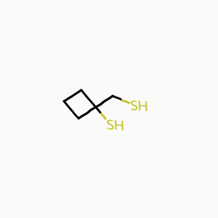 SCC1(S)CCC1